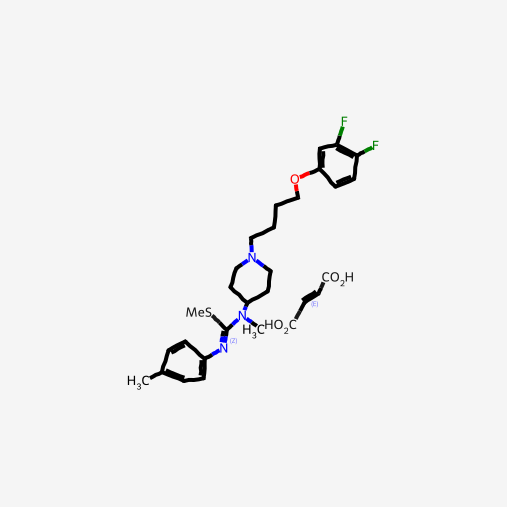 CS/C(=N\c1ccc(C)cc1)N(C)C1CCN(CCCCOc2ccc(F)c(F)c2)CC1.O=C(O)/C=C/C(=O)O